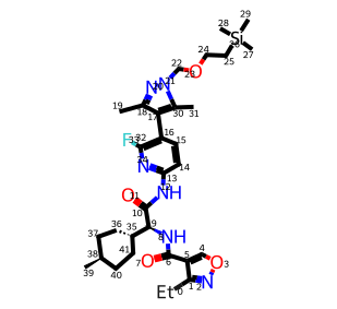 CCc1nocc1C(=O)N[C@H](C(=O)Nc1ccc(-c2c(C)nn(COCC[Si](C)(C)C)c2C)c(F)n1)[C@H]1CC[C@H](C)CC1